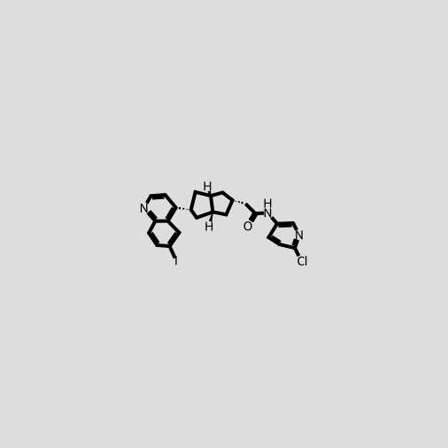 O=C(C[C@@H]1C[C@@H]2C[C@H](c3ccnc4ccc(I)cc34)C[C@@H]2C1)Nc1ccc(Cl)nc1